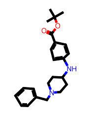 CC(C)(C)OC(=O)c1ccc(NC2CCN(Cc3ccccc3)CC2)cc1